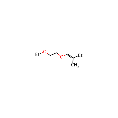 CCOCCOC=C(C)CC